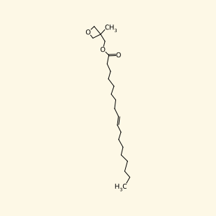 CCCCCCCCC=CCCCCCCCC(=O)OCC1(C)COC1